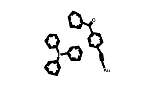 O=C(c1ccccc1)c1ccc(C#[C][Au])cc1.c1ccc(P(c2ccccc2)c2ccccc2)cc1